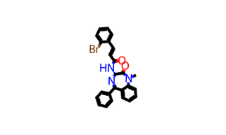 CN1C(=O)[C@H](NC(=O)/C=C/c2ccccc2Br)N=C(c2ccccc2)c2ccccc21